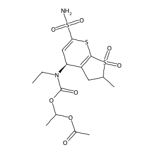 CCN(C(=O)OC(C)OC(C)=O)[C@H]1C=C(S(N)(=O)=O)SC2=C1CC(C)S2(=O)=O